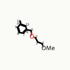 COCCCOCc1cccc(C)c1